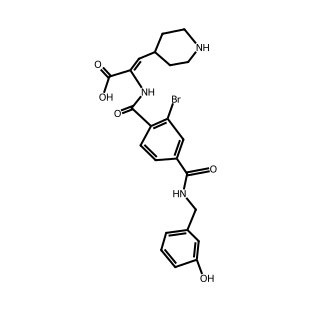 O=C(O)/C(=C/C1CCNCC1)NC(=O)c1ccc(C(=O)NCc2cccc(O)c2)cc1Br